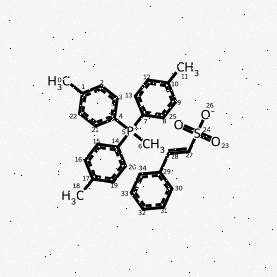 Cc1ccc([P+](C)(c2ccc(C)cc2)c2ccc(C)cc2)cc1.O=S(=O)([O-])C=Cc1ccccc1